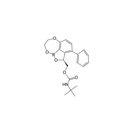 CC(C)(C)NC(=O)OC[C@H]1OB2OCCOc3ccc(-c4ccccc4)c1c32